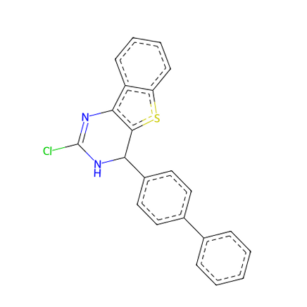 ClC1=Nc2c(sc3ccccc23)C(c2ccc(-c3ccccc3)cc2)N1